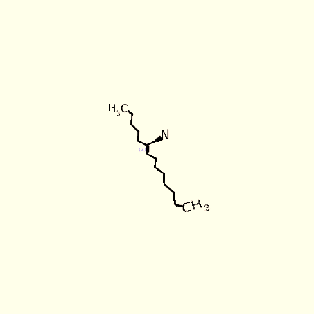 CCCCCCC/C=C(\C#N)CCCCC